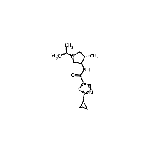 CC(C)N1C[C@H](NC(=O)c2cnc(C3CC3)o2)[C@@H](C)C1